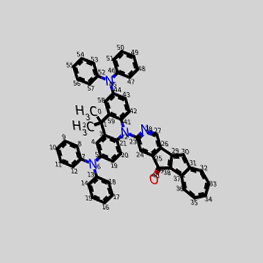 CC1(C)c2cc(N(c3ccccc3)c3ccccc3)ccc2N(c2cc3c(cn2)-c2cc4cccccc-4c2C3=O)c2ccc(N(c3ccccc3)c3ccccc3)cc21